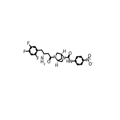 N[C@@H](CC(=O)N1C[C@@H]2C[C@H]1CN2C(=O)Nc1ccc([N+](=O)[O-])cc1)Cc1cc(F)c(F)cc1F